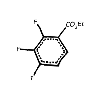 CCOC(=O)c1ccc(F)c(F)c1F